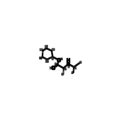 CC(C)NC(C)C(=O)OC1CCCCC1